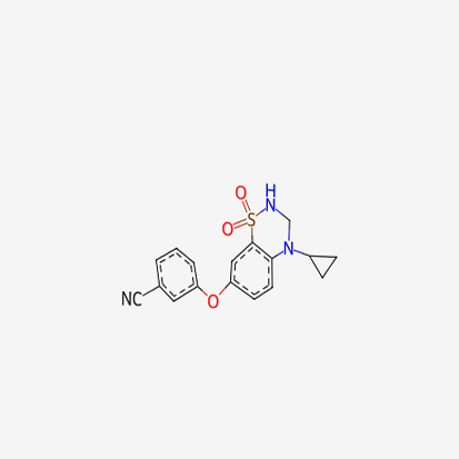 N#Cc1cccc(Oc2ccc3c(c2)S(=O)(=O)NCN3C2CC2)c1